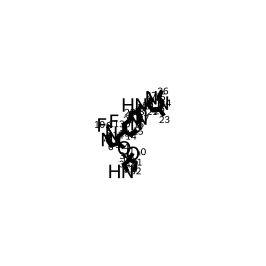 CO[C@]1(COc2cnn(C(F)F)c2-c2ccn3nc(Nc4cc(C)nc(C)n4)cc3c2)CCNC1